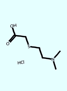 CN(C)CCSCC(=O)O.Cl